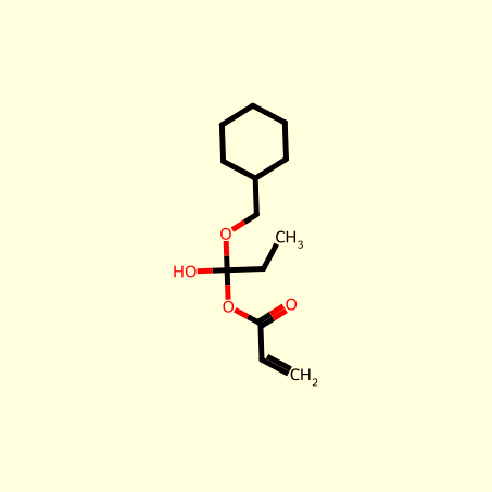 C=CC(=O)OC(O)(CC)OCC1CCCCC1